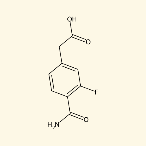 NC(=O)c1ccc(CC(=O)O)cc1F